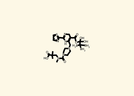 BC(B)(B)C(O)(O)OC(=O)C1=C(CN2CCN(C(=O)N(C)CC(C)(C)C(=O)O)CC2)NC(c2nccs2)=NC1